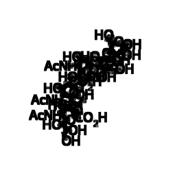 CC(=O)N[C@H]1[C@H]([C@H](O)[C@H](O)CO)O[C@@](O[C@H](CO)[C@@H](O)[C@@H]2O[C@@](O[C@H](CO)[C@@H](O)[C@@H]3O[C@@](O[C@H]4[C@@H](O)[C@@H](CO)O[C@@H](O[C@H]5[C@H](O)[C@@H](O)[C@H](O)O[C@@H]5CO)[C@@H]4O)(C(=O)O)C[C@H](O)[C@H]3NC(C)=O)(C(=O)O)C[C@H](O)[C@H]2NC(C)=O)(C(=O)O)C[C@@H]1O